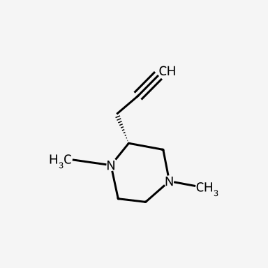 C#CC[C@@H]1CN(C)CCN1C